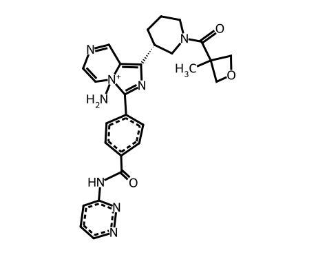 CC1(C(=O)N2CCC[C@@H](C3=C4C=NC=C[N+]4(N)C(c4ccc(C(=O)Nc5cccnn5)cc4)=N3)C2)COC1